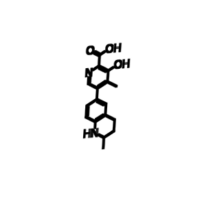 Cc1c(-c2ccc3c(c2)CCC(C)N3)cnc(C(=O)O)c1O